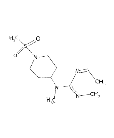 C/C=N\C(=N/C)N(C)C1CCN(S(C)(=O)=O)CC1